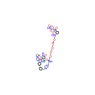 CN1CCN(c2ccc(-c3cccc(CN4CCN(CCNC(=O)CCOCCOCCOCCOCCOCCNc5cccc6c5C(=O)N(C5CCC(=O)NC5=O)C6=O)CC4)c3)cc2NC(=O)c2c[nH]c(=O)cc2C(F)(F)F)CC1